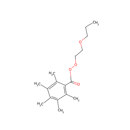 CCCOC[CH]OOC(=O)c1c(C)c(C)c(C)c(C)c1C